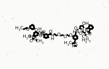 CCCOc1cccc(Oc2cc3c(cc2NS(=O)(=O)c2cccc(C(=O)NCCOCCOCCOc4cc(-c5scnc5C)ccc4CNC(=O)[C@@H]4C[C@@H](O)CN4C(=O)[C@H](C(C)C)N4Cc5ccccc5C4=O)c2)n(C)c(=O)n3C)c1